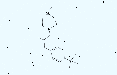 CC(Cc1ccc(C(C)(C)C)cc1)CN1CC[Si](C)(C)CC1